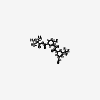 CC(C)(C)C(=O)ONc1ccc(F)c(NC(=O)c2cc(C#N)cc(C(F)(F)F)c2)c1